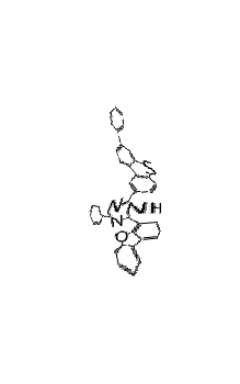 c1ccc(C2=NC(c3cccc4c3oc3ccccc34)NC(c3ccc4sc5cc(-c6ccccc6)ccc5c4c3)=N2)cc1